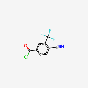 N#Cc1ccc(C(=O)Cl)cc1C(F)(F)F